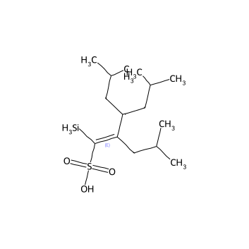 CC(C)C[C](CC(C)C)/C(CC(C)C)=C(\[SiH3])S(=O)(=O)O